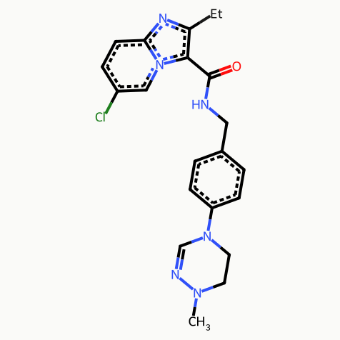 CCc1nc2ccc(Cl)cn2c1C(=O)NCc1ccc(N2C=NN(C)CC2)cc1